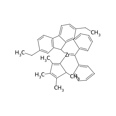 CCc1ccc2c(c1)[CH]([Zr]([C]1=C(C)C(C)=C(C)C1C)=[C](c1ccccc1)c1ccccc1)c1cc(CC)ccc1-2